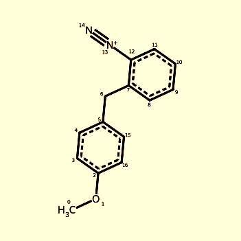 COc1ccc(Cc2ccccc2[N+]#N)cc1